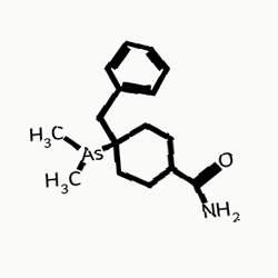 C[As](C)C1(Cc2ccccc2)CCC(C(N)=O)CC1